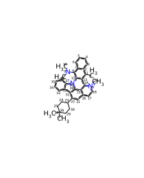 Cc1c2ccccc2c(N(C)C)c2c1c1c3c(cc[n+]1C)cc(C1CCC(C)(C)CC1)c1c4ccccc4n2c13